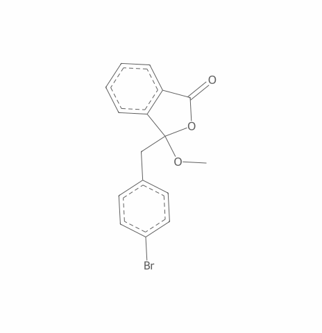 COC1(Cc2ccc(Br)cc2)OC(=O)c2ccccc21